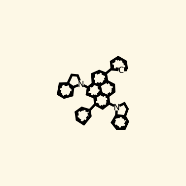 c1ccc(-c2ccc3c(N4CCc5ccccc54)cc4c(-c5ccccc5)cc(N5CCc6ccccc65)c5ccc2c3c45)cc1